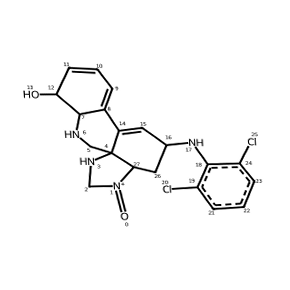 O=[N+]1CNC23CNC4C(=CC=CC4O)C2=CC(Nc2c(Cl)cccc2Cl)CC13